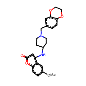 COc1ccc2oc(=O)cc(NC3CCN(Cc4ccc5c(c4)OCCO5)CC3)c2c1